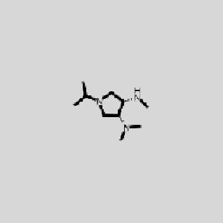 CN[C@H]1CN(C(C)C)C[C@H]1N(C)C